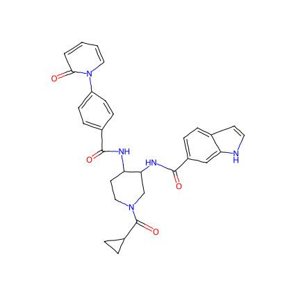 O=C(NC1CCN(C(=O)C2CC2)CC1NC(=O)c1ccc2cc[nH]c2c1)c1ccc(-n2ccccc2=O)cc1